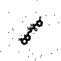 O=C(NCCc1ccc2c(n1)NCCC2)Nc1cccc(F)c1